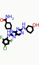 NC(=O)C1CCC(n2c(Nc3c(F)cc(Cl)cc3F)nc3cnc(N[C@H]4CCC[C@H](O)C4)nc32)CC1